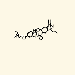 CCCc1n[nH]c2cc(O)c(C(=O)N3Cc4ccc(OCCN(C)CC)cc4C3)cc12